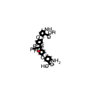 Nc1ccc(Oc2ccc(C(F)(c3ccc(Oc4ccc(N)c(C(=O)O)c4)cc3)C(F)(F)C(F)(F)F)cc2)cc1C(=O)O